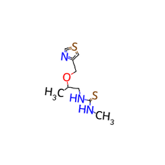 CNC(=S)NCC(C)OCc1cscn1